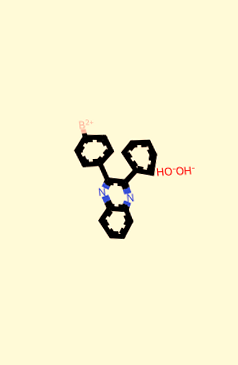 [B+2]c1ccc(-c2nc3ccccc3nc2-c2ccccc2)cc1.[OH-].[OH-]